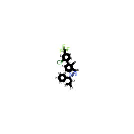 Cc1c(-c2ccc(C(F)(F)F)cc2Cl)ccc2c1cnn2C(CC(C)C)c1ccccc1